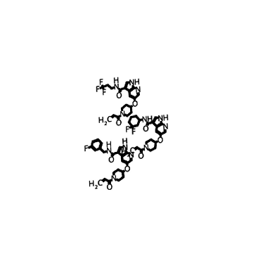 C=CC(=O)N1CCC(Oc2cnc3[nH]cc(C(=O)NC4CCCC(F)(F)C4)c3c2)CC1.C=CC(=O)N1CCC(Oc2cnc3[nH]cc(C(=O)NCCC(F)(F)F)c3c2)CC1.C=CC(=O)N1CCC(Oc2cnc3[nH]cc(C(=O)NCc4cccc(F)c4)c3c2)CC1